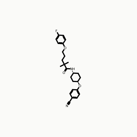 CC(C)(CCCOc1ccc(F)cc1)C(=O)N[C@H]1CC[C@H](Oc2ccc(C#N)cc2)CC1